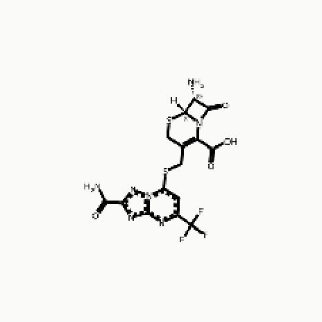 NC(=O)c1nc2nc(C(F)(F)F)cc(SCC3=C(C(=O)O)N4C(=O)[C@@H](N)[C@H]4SC3)n2n1